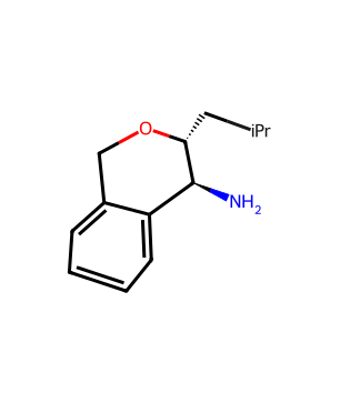 CC(C)C[C@H]1OCc2ccccc2[C@@H]1N